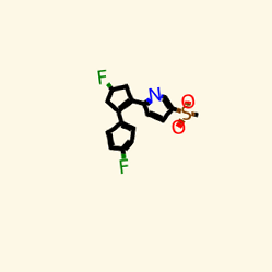 CS(=O)(=O)c1ccc(C2=C(c3ccc(F)cc3)CC(F)C2)nc1